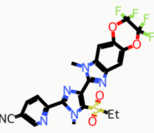 CCS(=O)(=O)c1c(-c2nc3cc4c(cc3n2C)OC(F)(F)C(F)(F)O4)nc(-c2ccc(C#N)cn2)n1C